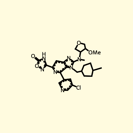 COC1COCC1N(C)c1nc2cc(-c3noc(=O)[nH]3)nc(-c3cncc(Cl)c3)c2n1CC1CCC(C)CC1